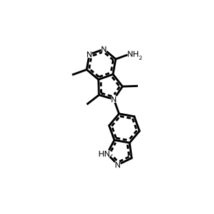 Cc1nnc(N)c2c(C)n(-c3ccc4cn[nH]c4c3)c(C)c12